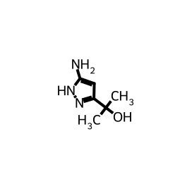 CC(C)(O)c1cc(N)[nH]n1